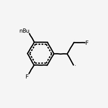 [CH2]C(CF)c1cc(F)cc(CCCC)c1